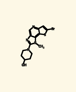 Cn1c(N2CCC(O)CC2)nc2cnc3cc(Br)sc3c21